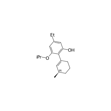 CCc1cc(O)c(C2=C[C@H](C)CCC2)c(OC(C)C)c1